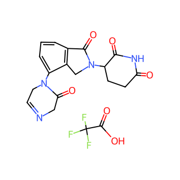 O=C(O)C(F)(F)F.O=C1CCC(N2Cc3c(cccc3N3CC=NCC3=O)C2=O)C(=O)N1